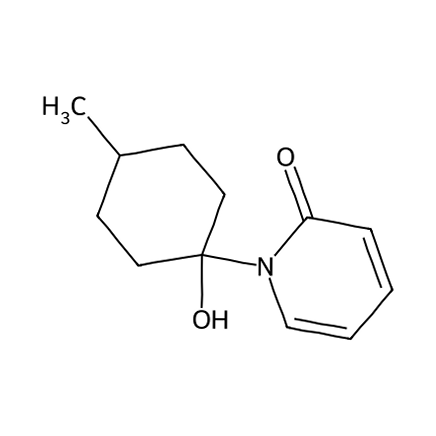 CC1CCC(O)(n2ccccc2=O)CC1